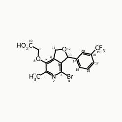 Cc1nc(Br)c2c(c1OCC(=O)O)COC2c1cccc(C(F)(F)F)c1